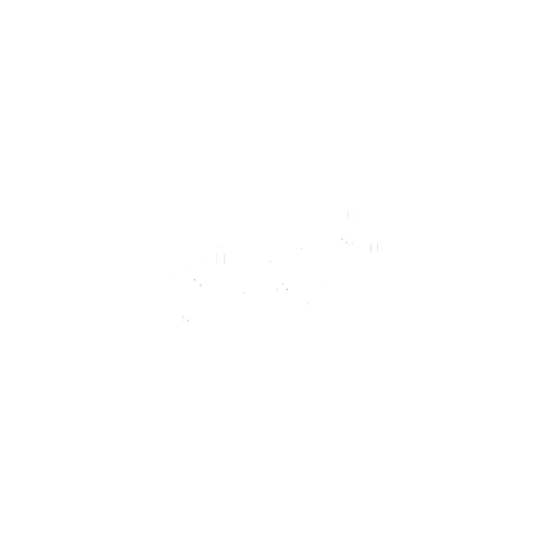 CN(C)C1CCN(CCCc2nccn2C)CC1